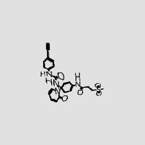 C#Cc1ccc(NC(=O)N[C@@]2(n3ccccc3=O)C=CC(NC(=O)CCS(C)(=O)=O)=CC2)cc1